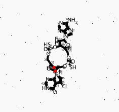 Nc1ncnc2c1ncn2[C@@H]1O[C@@H]2COP(=O)(S)O[C@@H]3[C@H](O)C(COP(=O)(S)O[C@H]2[C@H]1F)O[C@H]3n1cc(Cl)c2c(=O)[nH]cnc21